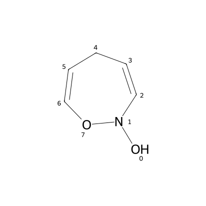 ON1C=CCC=CO1